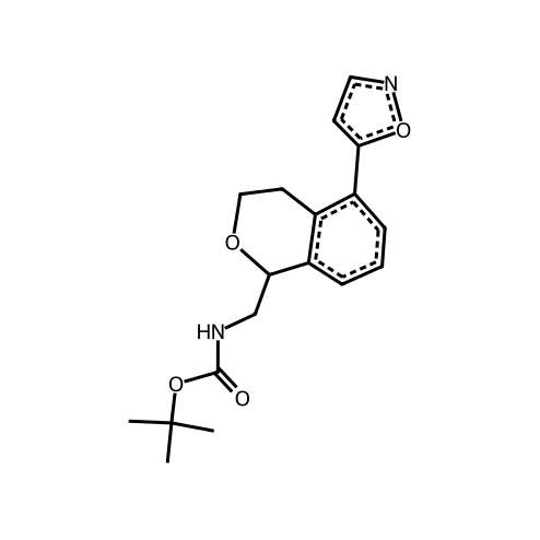 CC(C)(C)OC(=O)NCC1OCCc2c(-c3ccno3)cccc21